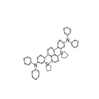 c1ccc(N(c2ccccc2)c2ccc3c(c2)[Si]2(CCCC2)c2ccc4c5c(ccc-3c25)-c2ccc(N(c3ccccc3)c3ccccc3)cc2[Si]42CCCC2)cc1